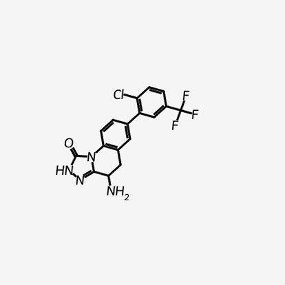 NC1Cc2cc(-c3cc(C(F)(F)F)ccc3Cl)ccc2-n2c1n[nH]c2=O